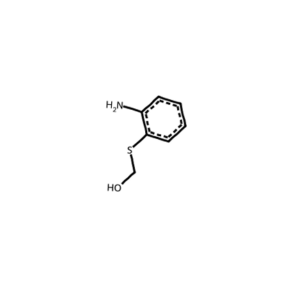 Nc1ccccc1SCO